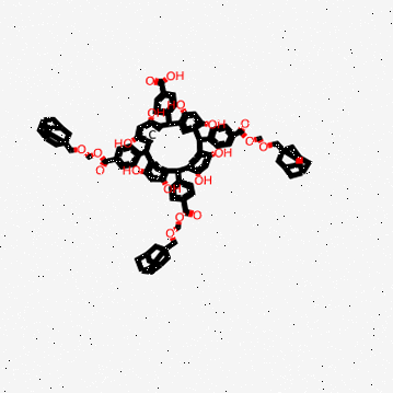 O=C(O)c1ccc(C2c3cc(c(O)cc3O)C(c3ccc(C(=O)OCOCC45CC6CC(CC(C6)C4)C5)cc3)c3cc(c(O)cc3O)C(c3ccc(C(=O)OCOCC45CC6CC(CC(C6)C4)C5)cc3)c3cc(c(O)cc3O)C(c3ccc(C(=O)OCOCC45CC6CC(CC(C6)C4)C5)cc3)c3cc2c(O)cc3O)cc1